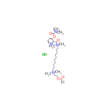 CCC(=O)OCC[N+](C)(C)CCCCCCCCCC[N+](C)(C)C(=O)c1ncccc1OC(=O)N(C)C.[Br-].[Br-]